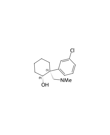 CNC[C@@]1(c2cccc(Cl)c2)CCCC[C@H]1O